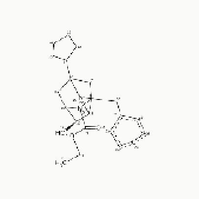 CCOC(=O)N1C2CC3(C4CCCC4)CC1[C@H](O)C2N(Cc1ccccc1)C3